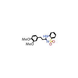 COc1ccc(CCC2=NS(=O)(=O)c3ccccc3N2)cc1OC